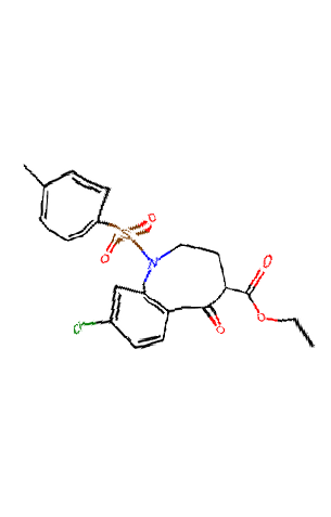 CCOC(=O)C1CCN(S(=O)(=O)c2ccc(C)cc2)c2cc(Cl)ccc2C1=O